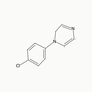 Clc1ccc(N2[C]=[C]N=CC2)cc1